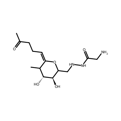 CC(=O)CC/C=C1/OC(CNNC(=O)CN)[C@@H](O)[C@H](O)C1C